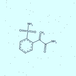 C=C(C(N)=O)c1ccccc1S(N)(=O)=O